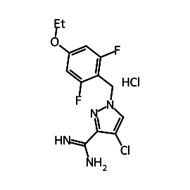 CCOc1cc(F)c(Cn2cc(Cl)c(C(=N)N)n2)c(F)c1.Cl